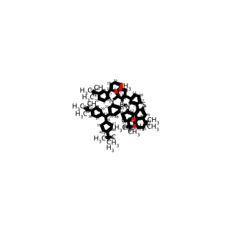 Cc1cc2c3c(c1)N(c1ccc(C(C)(C)C)cc1-c1ccccc1)c1cc(C(c4ccc(C(C)(C)C)cc4)c4ccc(C(C)(C)C)cc4)ccc1B3N(c1ccc(C(C)(C)C)cc1)c1c-2ccc2sc3cc4c(cc3c12)C(C)(C)CCC4(C)C